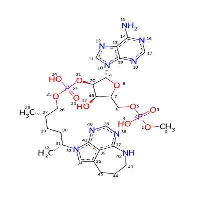 COP(=O)(O)OCC1O[C@@H](n2cnc3c(N)ncnc32)[C@H](OP(=O)(O)OC[C@@H](C)CC[C@@H](C)n2cc3c4c(ncnc42)NCCC3)[C@@H]1O